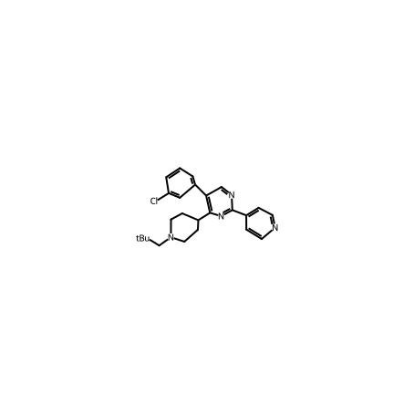 CC(C)(C)CN1CCC(c2nc(-c3ccncc3)ncc2-c2cccc(Cl)c2)CC1